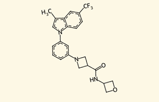 Cc1cn(-c2cccc(N3CC(C(=O)NC4COC4)C3)c2)c2ccc(C(F)(F)F)cc12